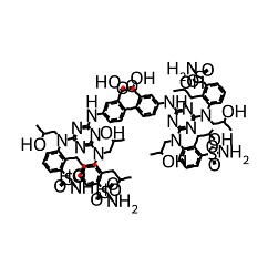 CC(O)Cc1c(N(CC(C)O)c2nc(Nc3ccc(-c4ccc(Nc5nc(N(CC(C)O)c6cccc(S(N)(=O)=O)c6CC(C)O)nc(N(CC(C)O)c6cccc(S(N)(=O)=O)c6CC(C)O)n5)cc4C(=O)O)c(C(=O)O)c3)nc(N(CC(C)O)c3cccc(S(N)(=O)=O)c3CC(C)O)n2)cccc1S(N)(=O)=O